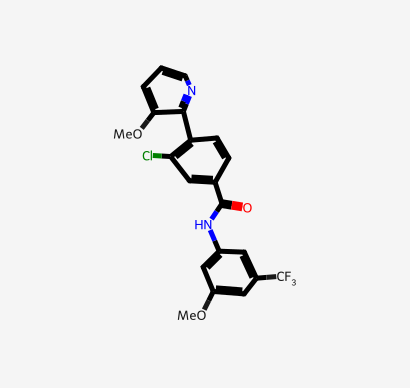 COc1cc(NC(=O)c2ccc(-c3ncccc3OC)c(Cl)c2)cc(C(F)(F)F)c1